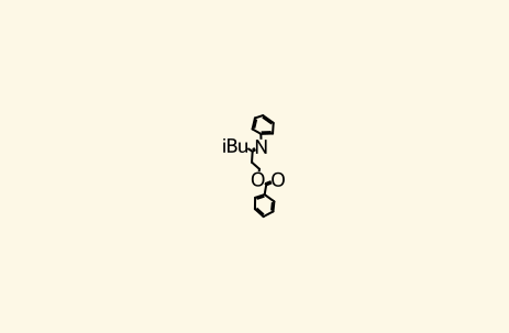 CCC(C)C(CCOC(=O)c1ccccc1)=Nc1ccccc1